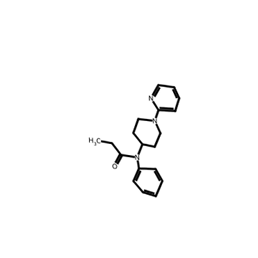 CCC(=O)N(c1ccccc1)C1CCN(c2ccccn2)CC1